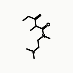 C=C(CC)C(C)C(=O)N(C)CCN(C)C